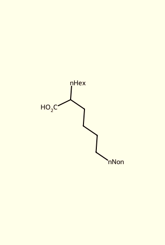 CCCCCCCCCCCCCC(CCCCCC)C(=O)O